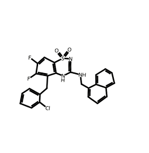 O=S1(=O)N=C(NCc2cccc3ccccc23)Nc2c1cc(F)c(F)c2Cc1ccccc1Cl